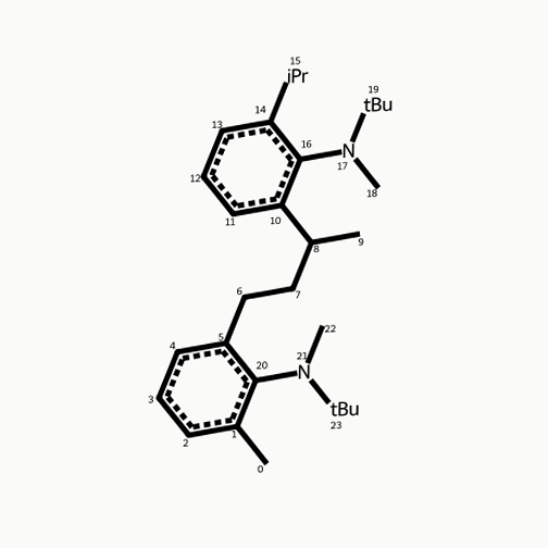 Cc1cccc(CCC(C)c2cccc(C(C)C)c2N(C)C(C)(C)C)c1N(C)C(C)(C)C